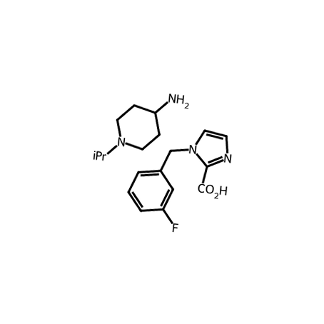 CC(C)N1CCC(N)CC1.O=C(O)c1nccn1Cc1cccc(F)c1